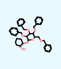 O[C@@H]1CCCC[C@H]1OC1OC(COCc2ccccc2)C(OCc2ccccc2)C(OCc2ccccc2)C1OCc1ccccc1